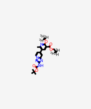 [2H]C([2H])([2H])COC(=O)c1cc(-c2ccn3nc(NC(=O)OC(C)(C)C)nc3c2)c(C)nc1OC([2H])([2H])[2H]